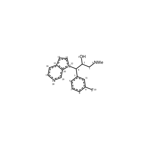 CNCC(O)C(c1cccc(F)c1)n1ccc2ccncc21